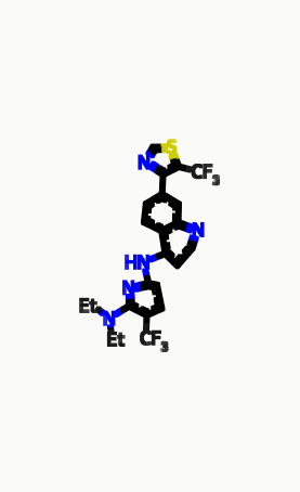 CCN(CC)c1nc(Nc2ccnc3cc(-c4ncsc4C(F)(F)F)ccc23)ccc1C(F)(F)F